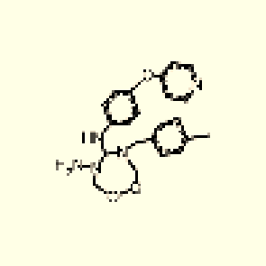 Cc1ccc(CN2COOCN(N)C2Nc2ccc(Oc3ccncc3)cc2)cc1